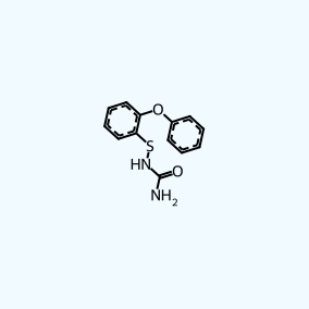 NC(=O)NSc1ccccc1Oc1ccccc1